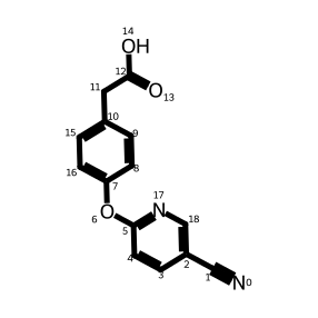 N#Cc1ccc(Oc2ccc(CC(=O)O)cc2)nc1